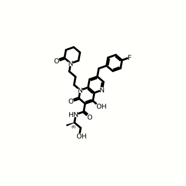 C[C@H](CO)NC(=O)c1c(O)c2ncc(Cc3ccc(F)cc3)cc2n(CCCN2CCCCC2=O)c1=O